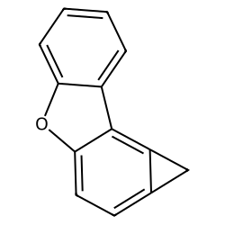 c1ccc2c(c1)oc1ccc3c(c12)C3